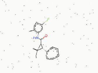 Cc1ccc(F)cc1NC(=O)C1[C@H](c2ccccc2)C1(C)C